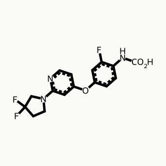 O=C(O)Nc1ccc(Oc2ccnc(N3CCC(F)(F)C3)c2)cc1F